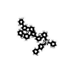 c1ccc(-c2ccc(-c3nc(-c4ccccc4)nc(-c4cccc5oc6c(-c7cccc(-c8ccc9oc%10ccccc%10c9c8-n8c9ccccc9c9cc(-c%10ccccc%10)ccc98)c7)cccc6c45)n3)cc2)cc1